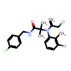 C=C(CCl)N(c1cccc(Cl)c1C)C(C)(C)C(=O)NCc1ccc(F)cc1